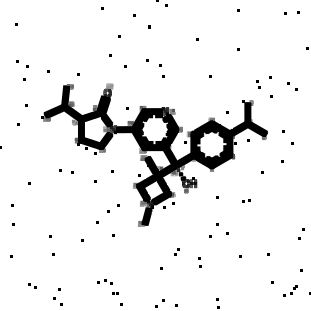 CC(C)c1ccc([C@](O)(c2cncc(N3CCC(C(C)C)C3=O)c2)C2(C)CN(C)C2)cc1